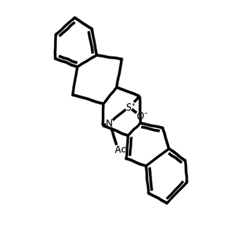 CC(=O)N1C2c3cc4ccccc4cc3C(C3Cc4ccccc4CC32)[S+]1[O-]